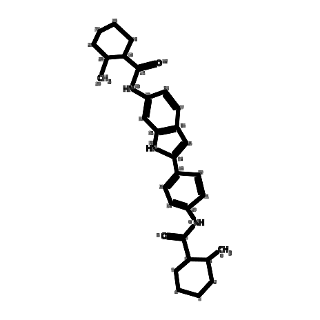 CC1CCCCC1C(=O)Nc1ccc(-c2cc3ccc(NC(=O)C4CCCCC4C)cc3[nH]2)cc1